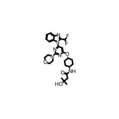 CC(C)(O)CC(=O)N[C@H]1CC[C@H](Oc2cc(-n3c(C(F)F)nc4ccccc43)nc(N3CCOCC3)n2)CC1